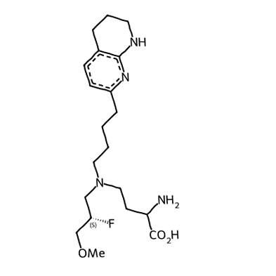 COC[C@@H](F)CN(CCCCc1ccc2c(n1)NCCC2)CCC(N)C(=O)O